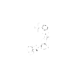 O=C(Nc1ncnc2c1CCN(S(=O)(=O)Cc1cccc(C(F)(F)F)c1)C2)C12CC3CC(CC(C3)C1)C2